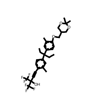 CCC(CC)(c1ccc(C#CC(O)(C(F)(F)F)C(F)(F)F)c(C)c1)c1ccc(OCC2COC(C)(C)OC2)c(C)c1